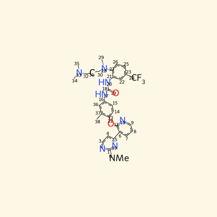 CNc1nccc(-c2cccnc2Oc2ccc(NC(=O)Nc3cc(C(F)(F)F)ccc3N(C)CCCN(C)C)cc2C)n1